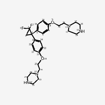 FC1(F)CC1(c1ccc(OCCN2CCNCC2)cc1)c1ccc(OCCN2CCNCC2)cc1